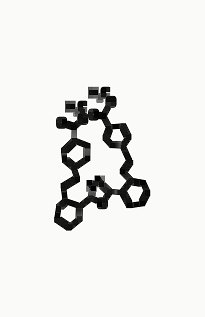 COC(=O)c1ccc(C=Cc2ccccc2-c2nnc(-c3ccccc3C=Cc3ccc(C(=O)OC)cc3)o2)cc1